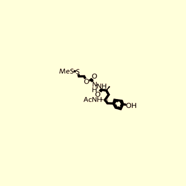 CSSCCOC(=O)NNC(=O)[C@@H](C)C[C@H](Cc1ccc(O)cc1)NC(C)=O